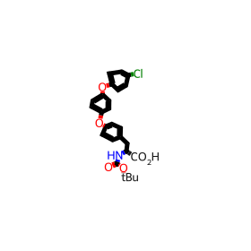 CC(C)(C)OC(=O)NC(Cc1ccc(Oc2ccc(Oc3ccc(Cl)cc3)cc2)cc1)C(=O)O